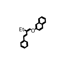 CCC(C=Cc1ccccc1)=COc1ccc2ccccc2c1